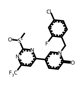 C[S+]([O-])c1nc(-c2ccc(=O)n(Cc3ccc(Cl)cc3F)c2)cc(C(F)(F)F)n1